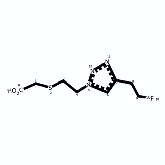 O=C(O)CSCCn1cc(CC[18F])nn1